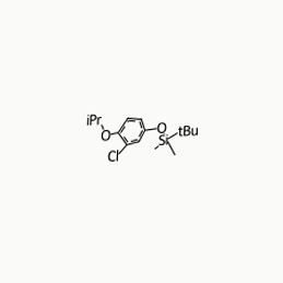 CC(C)Oc1ccc(O[Si](C)(C)C(C)(C)C)cc1Cl